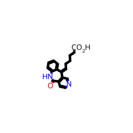 O=C(O)CCCC/C=C1\c2ccccc2NC(=O)c2ccncc21